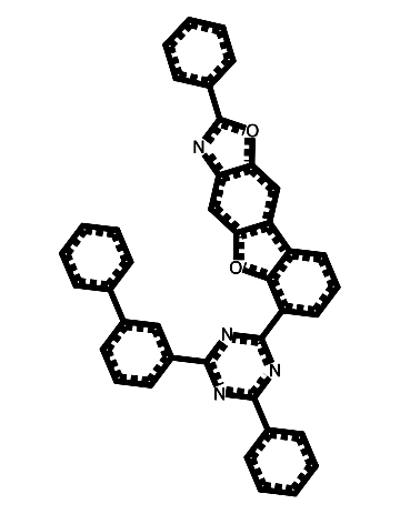 c1ccc(-c2cccc(-c3nc(-c4ccccc4)nc(-c4cccc5c4oc4cc6nc(-c7ccccc7)oc6cc45)n3)c2)cc1